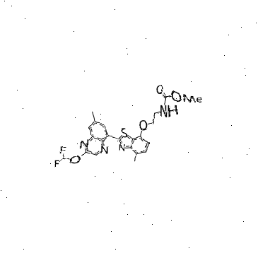 COC(=O)NCCOc1ccc(C)c2nc(-c3cc(C)cc4nc(OC(F)F)cnc34)sc12